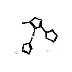 CC1=[C]([Zr+2][C]2=CC=CC2)C(C2CCCC2)=CC1.[Cl-].[Cl-]